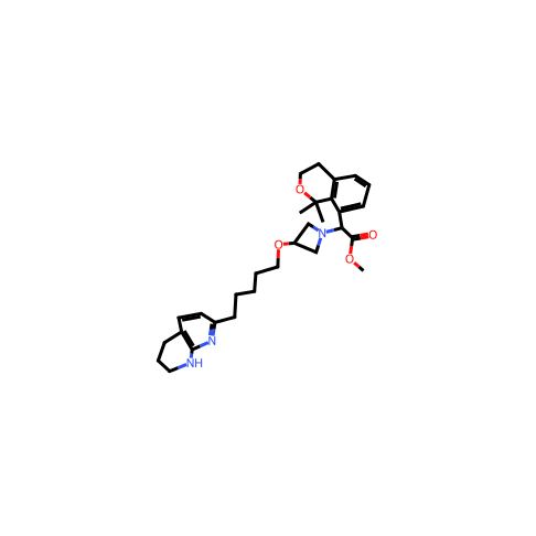 COC(=O)C(c1cccc2c1C(C)(C)OCC2)N1CC(OCCCCCc2ccc3c(n2)NCCC3)C1